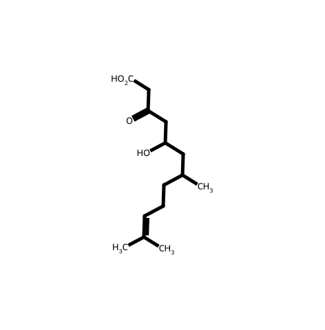 CC(C)=CCCC(C)CC(O)CC(=O)CC(=O)O